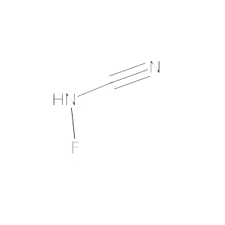 N#CNF